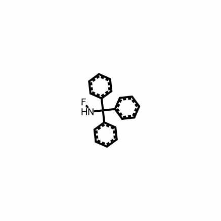 FNC(c1ccccc1)(c1ccccc1)c1ccccc1